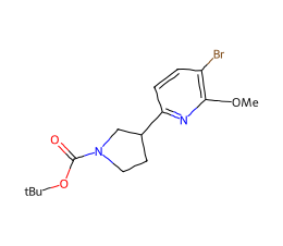 COc1nc(C2CCN(C(=O)OC(C)(C)C)C2)ccc1Br